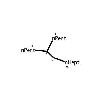 CCCCCCCC[C](CCCCC)CCCCC